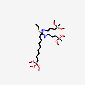 CCSC(CCCCCCCC[Si](OC)(OC)OC)(NCCC[Si](C)(OC)OC)NCCC[Si](C)(OC)OC